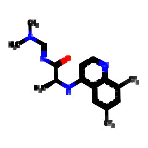 C[C@H](Nc1ccnc2c(C(F)(F)F)cc(C(F)(F)F)cc12)C(=O)/N=C/N(C)C